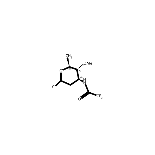 CO[C@@H]1[C@@H](NC(=O)C(F)(F)F)CC(Cl)O[C@H]1C